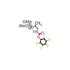 CO[SiH](OC)OC(C)CNC(=O)Oc1c(F)c(F)c(F)c(F)c1F